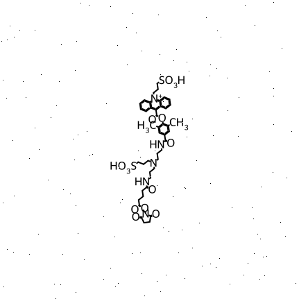 Cc1cc(C(=O)NCCCN(CCCNC(=O)CCCC(=O)ON2C(=O)CCC2=O)CCCS(=O)(=O)O)cc(C)c1OC(=O)c1c2ccccc2[n+](CCCS(=O)(=O)O)c2ccccc12